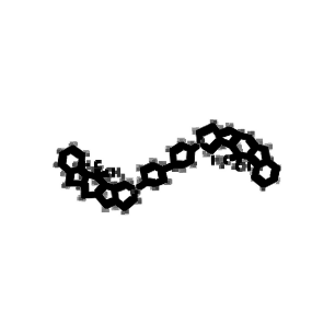 CC1(C)C2=c3ccccc3=CC2=Cc2cc3ccn(-c4ccc(-c5ccc(-n6ccc7cc8c(c-7c6)C(C)(C)C6=c7ccccc7=CC6=C8)cc5)cc4)cc-3c21